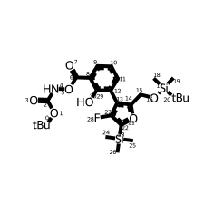 CC(C)(C)OC(=O)NOC(=O)c1cccc(-c2c(CO[Si](C)(C)C(C)(C)C)oc([Si](C)(C)C)c2F)c1O